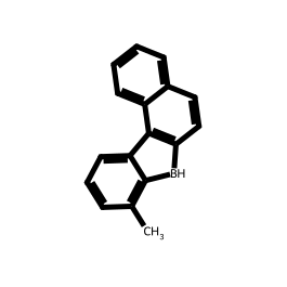 Cc1cccc2c1Bc1ccc3ccccc3c1-2